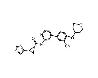 N#Cc1cc(-c2ccnc(NC(=O)[C@@H]3C[C@H]3c3cscn3)c2)ccc1OC1CCOCC1